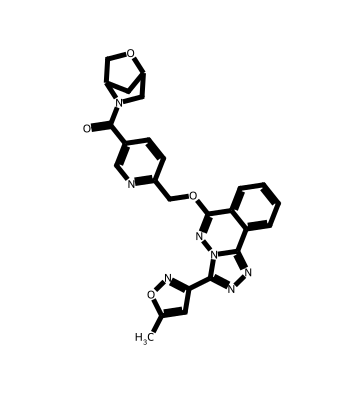 Cc1cc(-c2nnc3c4ccccc4c(OCc4ccc(C(=O)N5CC6CC5CO6)cn4)nn23)no1